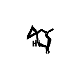 CN1CC(=O)NC2(CC2)C1